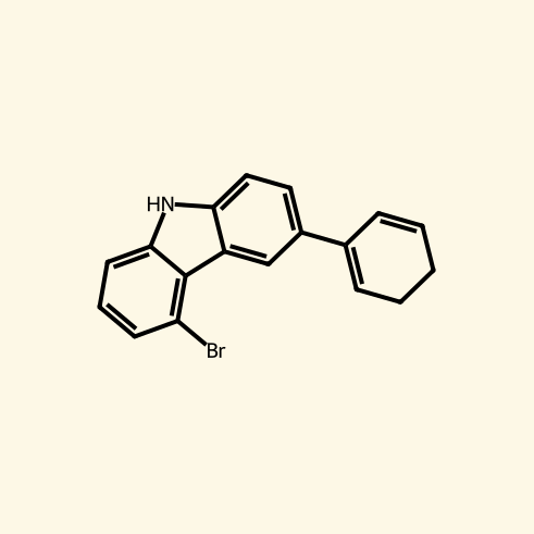 Brc1cccc2[nH]c3ccc(C4=CCCC=C4)cc3c12